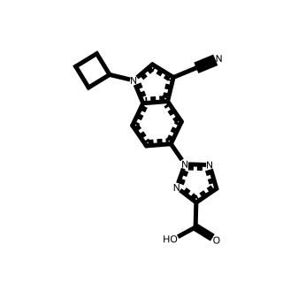 N#Cc1cn(C2CCC2)c2ccc(-n3ncc(C(=O)O)n3)cc12